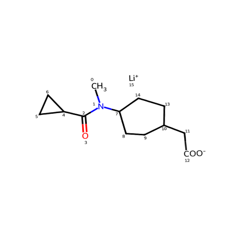 CN(C(=O)C1CC1)C1CCC(CC(=O)[O-])CC1.[Li+]